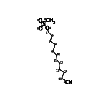 CS(=O)(=O)OCCCCCCCCCCCC#N